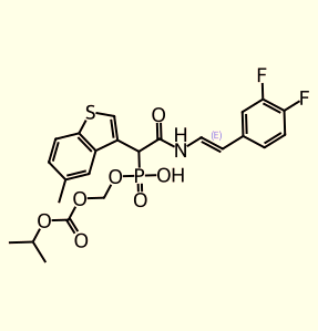 Cc1ccc2scc(C(C(=O)N/C=C/c3ccc(F)c(F)c3)P(=O)(O)OCOC(=O)OC(C)C)c2c1